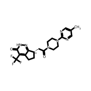 Cc1cnc(N2CCN(C(=O)C[C@@H]3CCc4c3n[nH]c(=O)c4C(F)(F)F)CC2)nc1